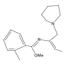 C/C=C(CN1CCCCC1)/N=C(\OC)c1ccccc1C